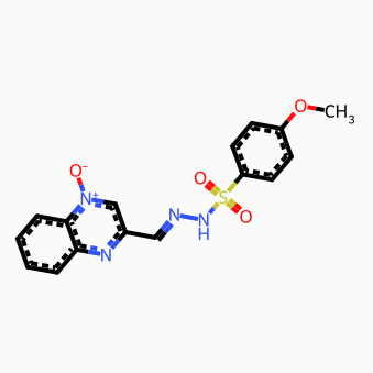 COc1ccc(S(=O)(=O)N/N=C/c2c[n+]([O-])c3ccccc3n2)cc1